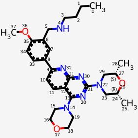 CCCCNCc1cc(-c2ccc3c(N4CCOCC4)nc(N4C[C@@H](C)O[C@@H](C)C4)nc3n2)ccc1OC